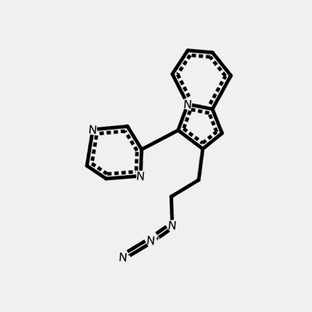 [N-]=[N+]=NCCc1cc2ccccn2c1-c1cnccn1